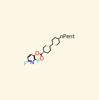 CCCCC[C@H]1CC[C@H]([C@H]2CC[C@H](C(=O)Oc3ccc(F)nc3F)CC2)CC1